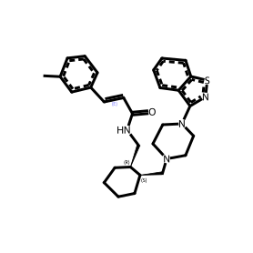 Cc1cccc(/C=C/C(=O)NC[C@@H]2CCCC[C@@H]2CN2CCN(c3nsc4ccccc34)CC2)c1